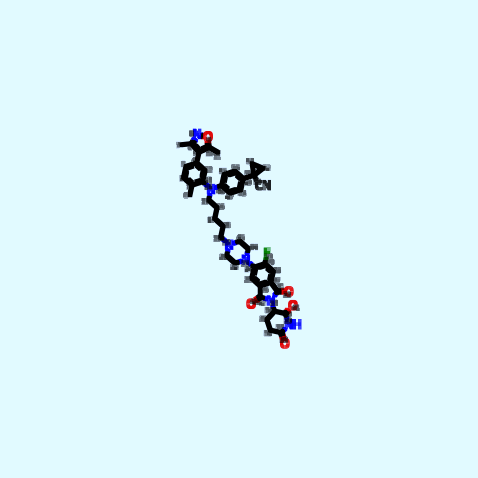 Cc1ccc(-c2c(C)noc2C)cc1N(CCCCCN1CCN(c2cc3c(cc2F)C(=O)N(C2CCC(=O)NC2=O)C3=O)CC1)c1ccc(C2(C#N)CC2)cc1